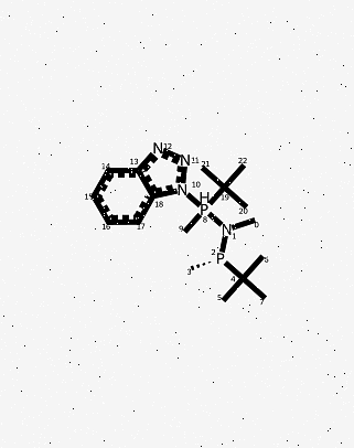 CN([P@@](C)C(C)(C)C)[PH](C)(n1nnc2ccccc21)C(C)(C)C